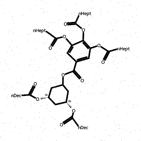 CCCCCCCCCCC(=O)O[C@@H]1CC(OC(=O)c2cc(OC(=O)CCCCCCC)c(OC(=O)CCCCCCC)c(OC(=O)CCCCCCC)c2)C[C@H](OC(=O)CCCCCCCCCC)C1